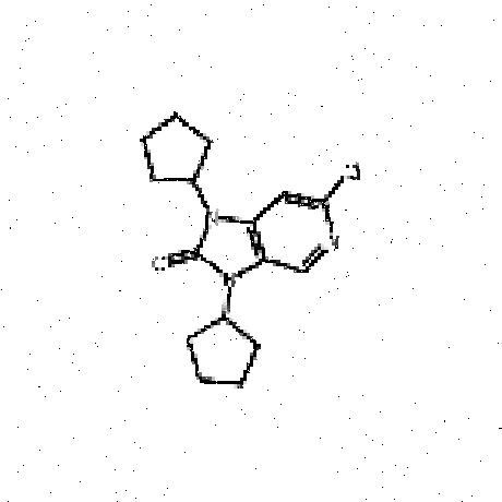 O=c1n(C2CCCC2)c2cnc(Cl)cc2n1C1CCCC1